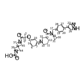 CC(C)(Oc1cccc(N2CCC[C@@H](C(=O)N(Cc3ccc(-c4cn[nH]c4)cc3)C3CC3)C2)c1)C(=O)N1CC2(CN(C(=O)O)C2)C1